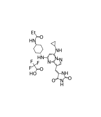 CCC(=O)N[C@H]1CC[C@H](Nc2cc(NC3CC3)n3ncc(/C=C4\NC(=O)NC4=O)c3n2)CC1.O=C(O)C(F)(F)F